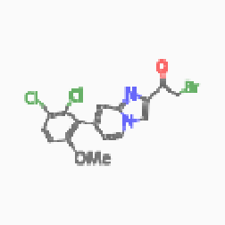 COc1ccc(Cl)c(Cl)c1-c1ccn2cc(C(=O)CBr)nc2c1